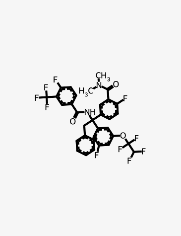 CN(C)C(=O)c1cc(C(Cc2ccccc2)(NC(=O)c2ccc(F)c(C(F)(F)F)c2)c2cc(F)cc(OC(F)(F)C(F)F)c2)ccc1F